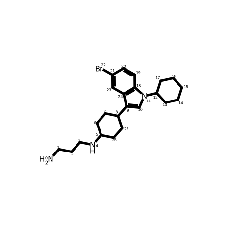 NCCCNC1CCC(c2cn(C3CCCCC3)c3ccc(Br)cc23)CC1